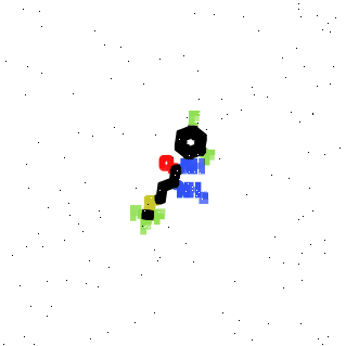 NC(CCSC(F)(F)F)C(=O)Nc1ccc(F)cc1F